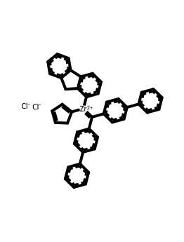 C1=CC[C]([Zr+2](=[C](c2ccc(-c3ccccc3)cc2)c2ccc(-c3ccccc3)cc2)[c]2cccc3c2Cc2ccccc2-3)=C1.[Cl-].[Cl-]